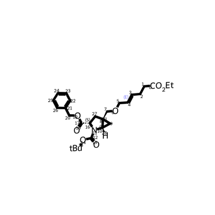 CCOC(=O)CC/C=C/COC[C@@]12C[C@@H]1N(C(=O)OC(C)(C)C)[C@H](C(=O)OCc1ccccc1)C2